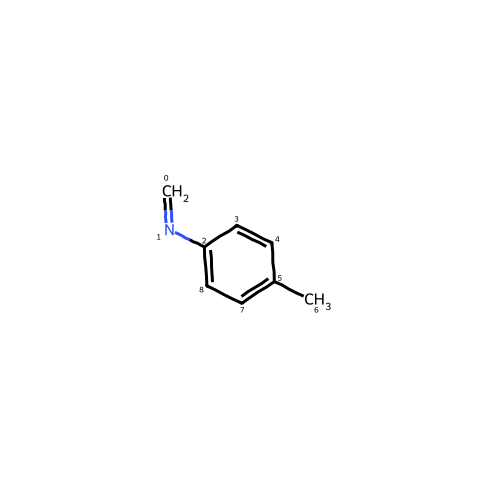 C=Nc1ccc(C)cc1